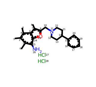 Cc1c(C)c(C)c2c(C)c(CN3CCC(c4ccccc4)CC3)oc2c1N.Cl.Cl